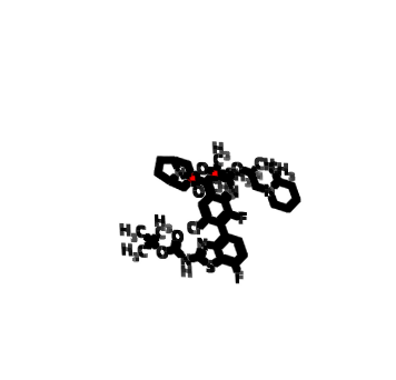 CC1CCCCN1C[C@H](C)Oc1nc(N2CC3CCC(C2)N3C(=O)OC(C)(C)C)c2cc(Cl)c(-c3ccc(F)c4sc(NC(=O)OC(C)(C)C)nc34)c(F)c2n1